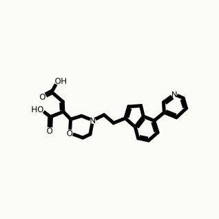 O=C(O)C=C(C(=O)O)C1CN(CCC2=CCc3c2cccc3-c2cccnc2)CCO1